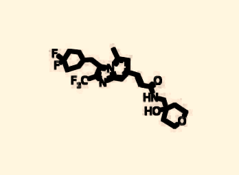 Cc1cc(C=CC(=O)NCC2(O)CCOCC2)cc2nc(C(F)(F)F)c(CC3CCC(F)(F)CC3)n12